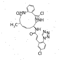 CC1/C=C\C[C@H](NC(=O)/C=C/c2cc(Cl)ccc2-n2cnnn2)c2nc(c(Cl)[nH]2)-c2ccccc2NC(=O)C1